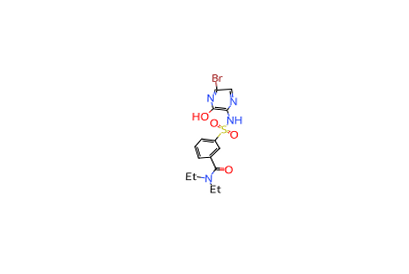 CCN(CC)C(=O)c1cccc(S(=O)(=O)Nc2ncc(Br)nc2O)c1